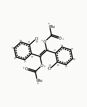 CC(C)(C)C(=O)O/C(=C(/OC(=O)C(C)(C)C)c1ccccc1Cl)c1ccccc1Cl